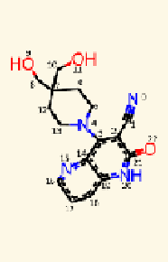 N#Cc1c(N2CCC(CO)(CO)CC2)c2ncccc2[nH]c1=O